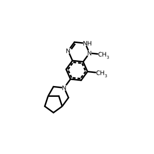 Cc1cc(N2CC3CCC(C3)C2)cc2c1N(C)NC=N2